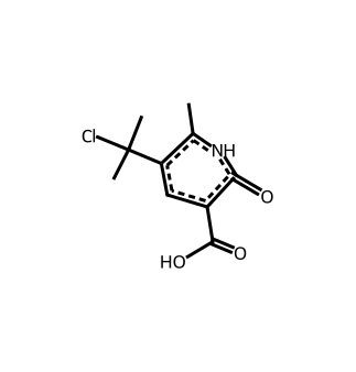 Cc1[nH]c(=O)c(C(=O)O)cc1C(C)(C)Cl